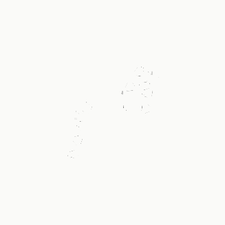 Cc1ncsc1-c1ccc(CNC(=O)[C@@H]2CCCN2C(=O)C(NC(=O)CCCCCCC(=O)NCCc2cccc(-c3ccc4nc(-c5cccnc5N)n(-c5ccc(C6(N)CCC6)cc5)c4n3)c2)C(C)(C)C)cc1